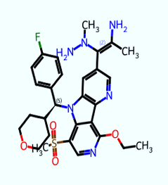 CCOc1ncc(S(C)(=O)=O)c2c1c1ncc(/C(=C(\C)N)N(C)N)cc1n2[C@H](c1ccc(F)cc1)C1CCOCC1